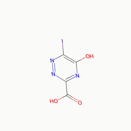 O=C(O)c1nnc(I)c(O)n1